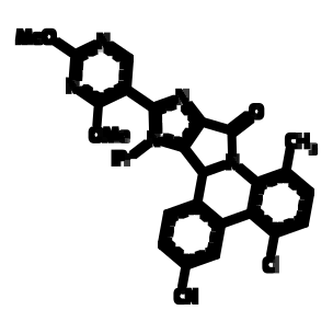 COc1ncc(-c2nc3c(n2C(C)C)C2c4ccc(C#N)cc4-c4c(Cl)ccc(C)c4N2C3=O)c(OC)n1